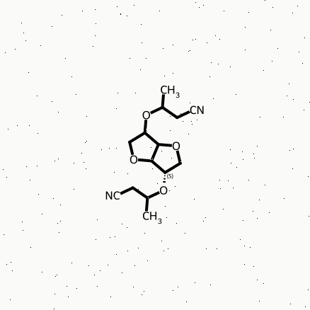 CC(CC#N)OC1COC2C1OC[C@@H]2OC(C)CC#N